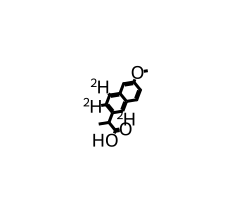 [2H]c1c(C(C)C(=O)O)c([2H])c2ccc(OC)cc2c1[2H]